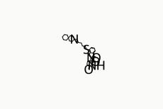 O=C1CCC(N2Cc3c(SCCCCCN4CCC5(CCCCC5)CC4)cccc3C2=O)C(=O)N1